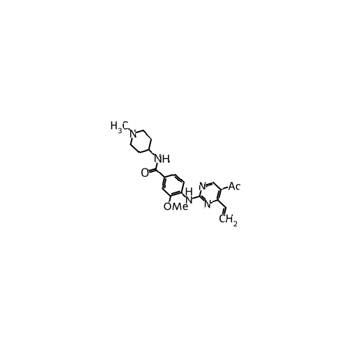 C=Cc1nc(Nc2ccc(C(=O)NC3CCN(C)CC3)cc2OC)ncc1C(C)=O